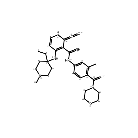 CCC1(NC2=C(C(=N)Nc3ccc(C(=O)N4CCOCC4)c(C)c3)C(=C=O)NC=C2)CCN(C)CC1